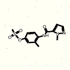 Cc1cc(OS(C)(=O)=O)ccc1NC(=O)c1ccnn1C